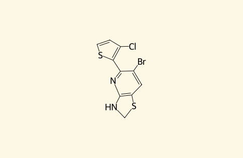 Clc1ccsc1-c1nc2c(cc1Br)SCN2